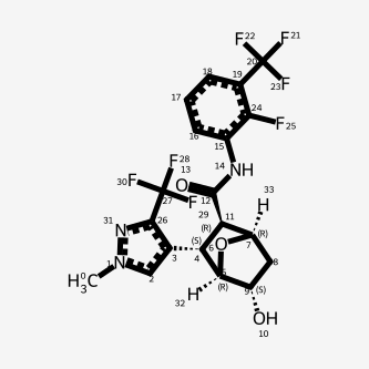 Cn1cc([C@H]2[C@H]3O[C@H](C[C@@H]3O)[C@@H]2C(=O)Nc2cccc(C(F)(F)F)c2F)c(C(F)(F)F)n1